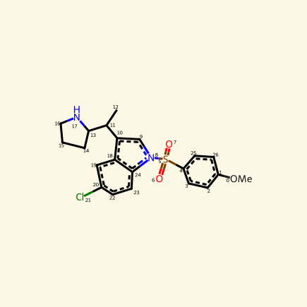 COc1ccc(S(=O)(=O)n2cc(C(C)C3CCCN3)c3cc(Cl)ccc32)cc1